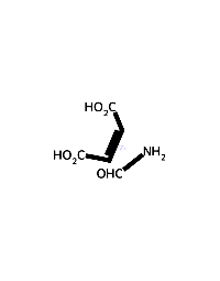 NC=O.O=C(O)/C=C\C(=O)O